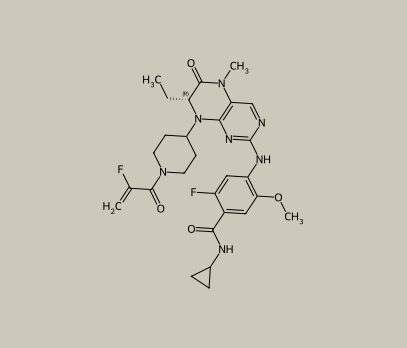 C=C(F)C(=O)N1CCC(N2c3nc(Nc4cc(F)c(C(=O)NC5CC5)cc4OC)ncc3N(C)C(=O)[C@H]2CC)CC1